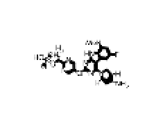 CNc1cc(F)cc2c1[nH]c1nc(Oc3cnc([C@@H](C)OP(=O)(O)O)nc3)nc(N3C[C@H]4C[C@@H]3C[C@H]4N)c12